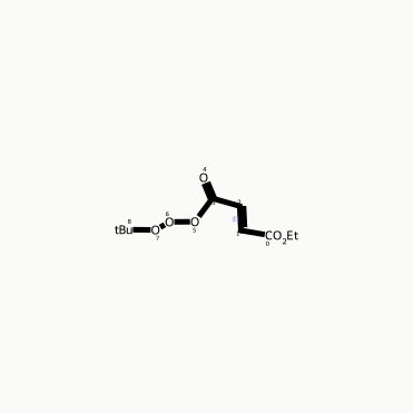 CCOC(=O)/C=C/C(=O)OOOC(C)(C)C